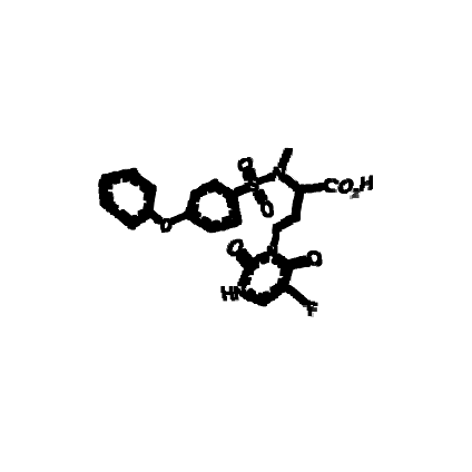 CN(C(CCn1c(=O)[nH]cc(F)c1=O)C(=O)O)S(=O)(=O)c1ccc(Oc2ccccc2)cc1